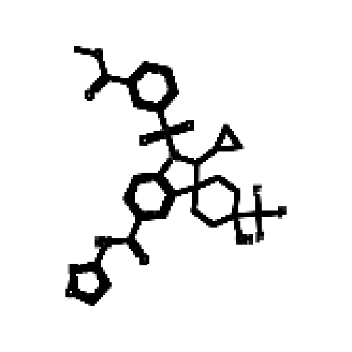 COC(=O)c1cccc(S(=O)(=O)N2c3ccc(C(=O)Nc4ccon4)cc3C3(CCC(O)(C(F)(F)F)CC3)C2C2CC2)c1